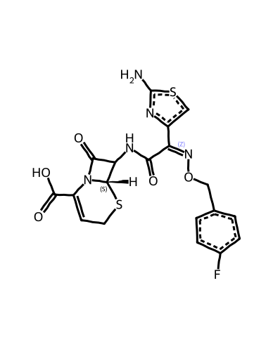 Nc1nc(/C(=N/OCc2ccc(F)cc2)C(=O)NC2C(=O)N3C(C(=O)O)=CCS[C@@H]23)cs1